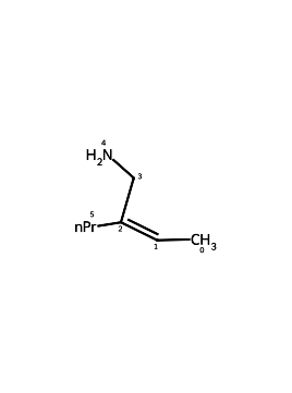 C/C=C(\CN)CCC